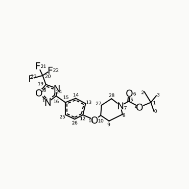 CC(C)(C)OC(=O)N1CCC(Oc2ccc(-c3noc(C(F)(F)F)n3)cc2)CC1